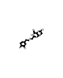 CCc1cnc2nc(COCCc3ccc(F)c(Cl)c3)[nH]c(=O)c2n1